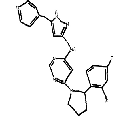 Fc1ccc(C2CCCN2c2cc(Nc3cc(-c4ccncc4)[nH]n3)ncn2)c(F)c1